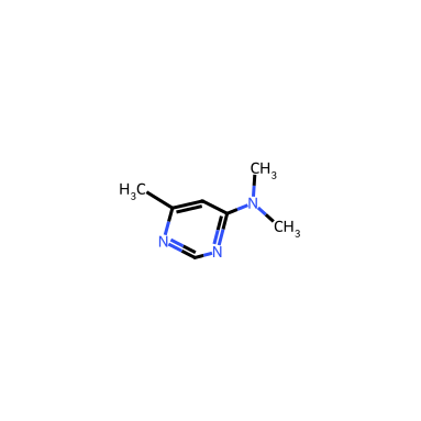 Cc1cc(N(C)C)ncn1